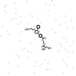 CCCCCCCCCCCCOC(=O)/C(=N\Nc1ccc(C(=O)OCCOC(=O)C(CC(C)(C)C)C(C)(C)C)cc1)c1ccccc1